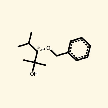 CC(C)[C@H](OCc1ccccc1)C(C)(C)O